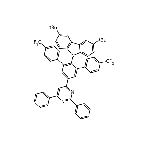 CC(C)(C)c1ccc2c(c1)c1cc(C(C)(C)C)ccc1n2-c1c(-c2ccc(C(F)(F)F)cc2)cc(-c2cc(-c3ccccc3)nc(-c3ccccc3)n2)cc1-c1ccc(C(F)(F)F)cc1